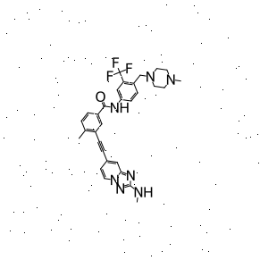 CNc1nc2cc(C#Cc3cc(C(=O)Nc4ccc(CN5CCN(C)CC5)c(C(F)(F)F)c4)ccc3C)ccn2n1